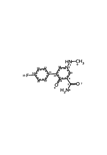 CNn1cc(C(N)=O)c(=O)c(-c2ccc(F)cc2)c1